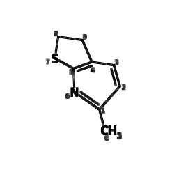 Cc1ccc2c(n1)SCC2